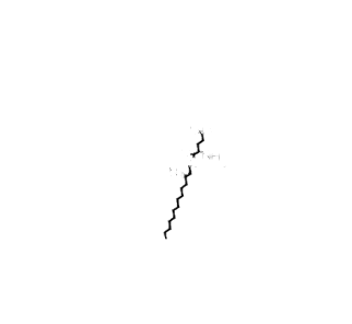 CCCCCCCCCCCCCCOC(=O)[C@@H](N)CCC(=O)[O-].[Na+]